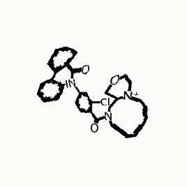 O=C(Nc1ccc(C(=O)N2C=CC=CC=CC=[N+]3CCOCC3C2)c(Cl)c1)c1ccccc1-c1ccccc1